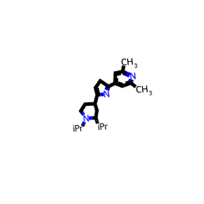 Cc1cc(C2=NC(C3CCN(C(C)C)C(C(C)C)C3)=CC2)cc(C)n1